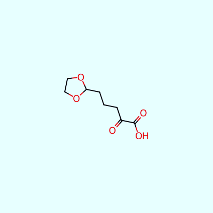 O=C(O)C(=O)CCCC1OCCO1